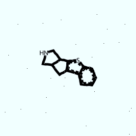 c1ccc2c3c(sc2c1)C1CNCC1C3